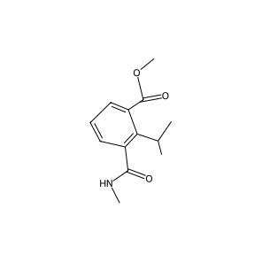 CNC(=O)c1cccc(C(=O)OC)c1C(C)C